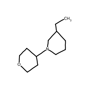 CCC1CCCN(C2CCOCC2)C1